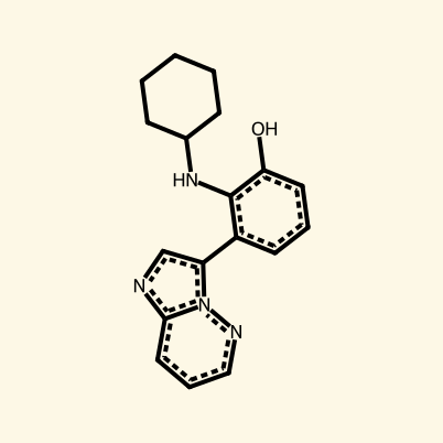 Oc1cccc(-c2cnc3cccnn23)c1NC1CCCCC1